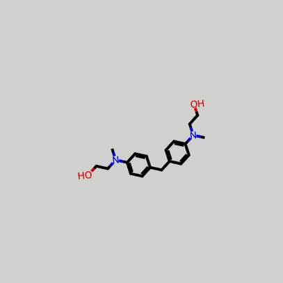 CN(CCO)c1ccc(Cc2ccc(N(C)CCO)cc2)cc1